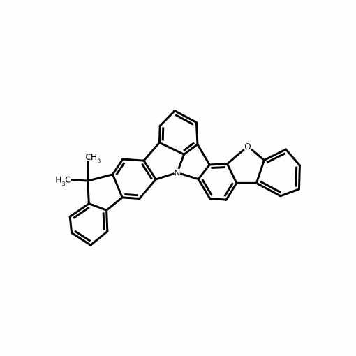 CC1(C)c2ccccc2-c2cc3c(cc21)c1cccc2c4c5oc6ccccc6c5ccc4n3c12